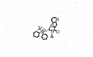 CC(C)(C)[Si](OC[C@@H]1Cn2c(cc3ncccc32)C(=O)N1C1CC1)(c1ccccc1)c1ccccc1